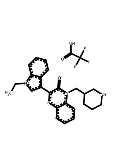 CCn1cc(-c2nc3ccccc3n(CC3CCCNC3)c2=O)c2ccccc21.O=C(O)C(F)(F)F